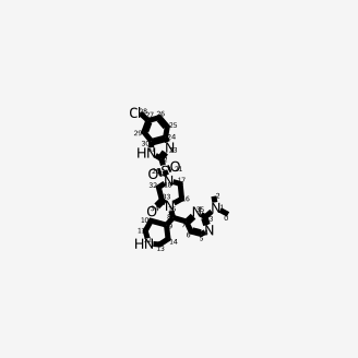 CN(C)c1nccc(C(C2CCNCC2)N2CCN(S(=O)(=O)c3nc4ccc(Cl)cc4[nH]3)CC2=O)n1